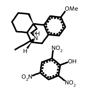 COc1ccc2c(c1)[C@@]13CCCC[C@@H]1[C@@H](C2)N(C)CC3.O=[N+]([O-])c1cc([N+](=O)[O-])c(O)c([N+](=O)[O-])c1